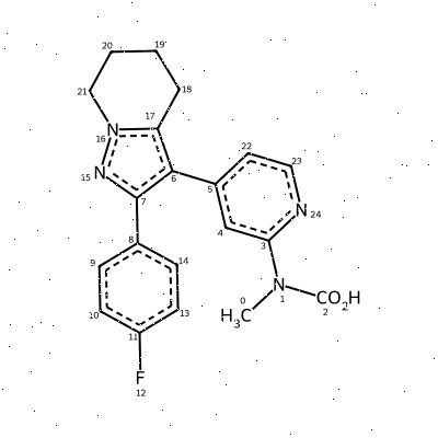 CN(C(=O)O)c1cc(-c2c(-c3ccc(F)cc3)nn3c2CCCC3)ccn1